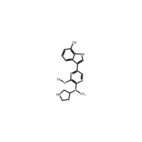 CCOc1nc(-c2c[nH]c3c(C#N)cccc23)cnc1N(C)C1CCNC1